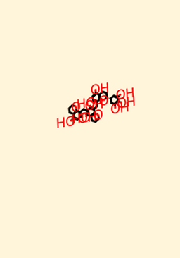 Oc1cc([C@H]2CCc3c(O)cc(O)c(Cc4c(O)c(Cc5c(O)cc(O)c6c5OCCC6)c(O)c5c4OCCC5)c3O2)cc(O)c1O